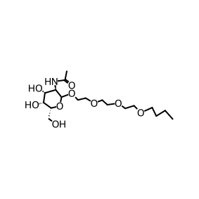 CCCCOCCOCCOCCOC1O[C@H](CO)[C@H](O)[C@H](O)[C@H]1NC(C)=O